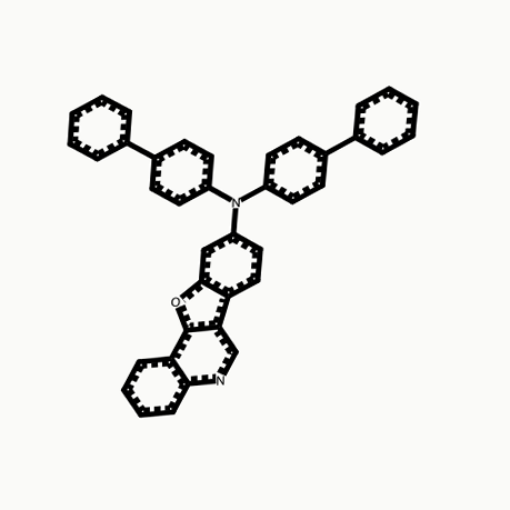 c1ccc(-c2ccc(N(c3ccc(-c4ccccc4)cc3)c3ccc4c(c3)oc3c5ccccc5ncc43)cc2)cc1